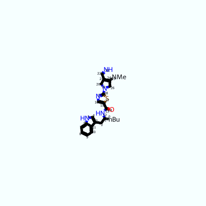 CCCCC(Cc1c[nH]c2ccccc12)NC(=O)c1cnc(N2CC(C=N)=C(NC)C2)s1